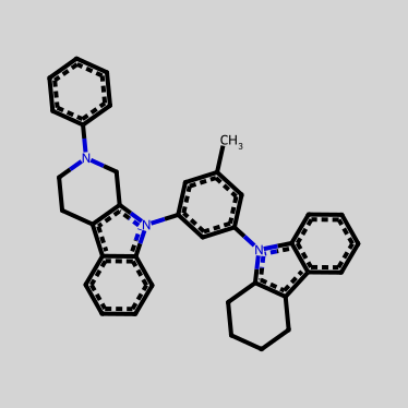 Cc1cc(-n2c3c(c4ccccc42)CCCC3)cc(-n2c3c(c4ccccc42)CCN(c2ccccc2)C3)c1